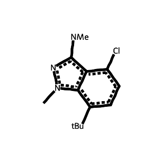 CNc1nn(C)c2c(C(C)(C)C)ccc(Cl)c12